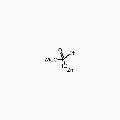 CCP(=O)(O)OC.[Zn]